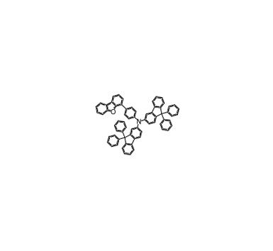 c1ccc(C2(c3ccccc3)c3ccccc3-c3cc(N(c4ccc(-c5cccc6c5oc5ccccc56)cc4)c4ccc5c(c4)C(c4ccccc4)(c4ccccc4)c4ccccc4-5)ccc32)cc1